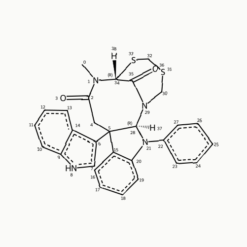 CN1C(=O)CC2(c3c[nH]c4ccccc34)c3ccccc3N(c3ccccc3)[C@@H]2N2CSCS[C@@H]1C2=O